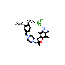 COc1ccc(CN2CCN(CC3(C)Cc4c(C)c(N)c(C)c(C)c4O3)CC2)cc1OC.Cl.Cl.Cl